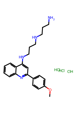 COc1ccc(-c2cc(NCCCNCCCN)c3ccccc3n2)cc1.Cl.Cl.Cl